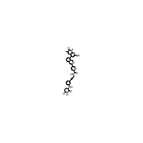 Cc1cc2c(-c3cccc4cc(-c5ccc(C(=O)NCC#Cc6cccc(NC7CCC(=O)NC7=O)c6)nc5)ncc34)cc(C(C)C)nc2n(C)c1=O